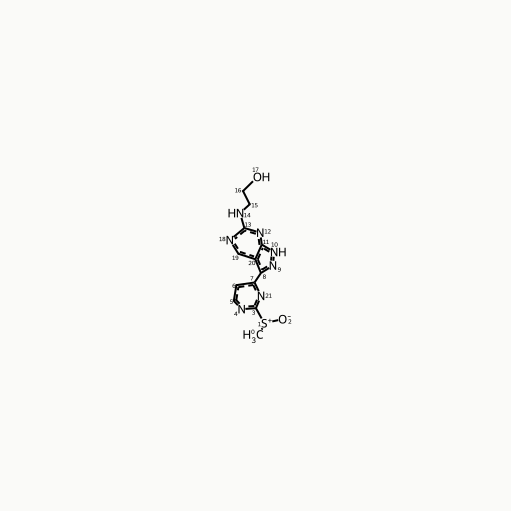 C[S+]([O-])c1nccc(-c2n[nH]c3nc(NCCO)ncc23)n1